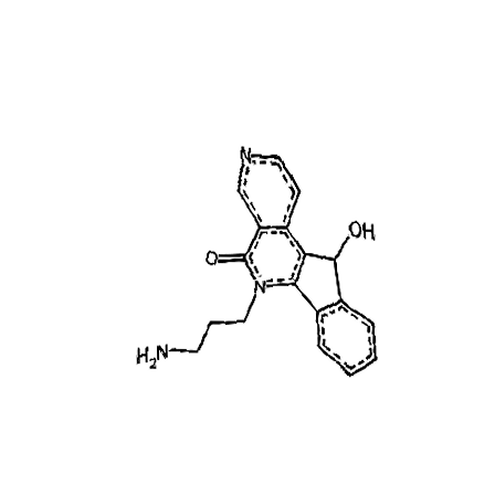 NCCCn1c2c(c3ccncc3c1=O)C(O)c1ccccc1-2